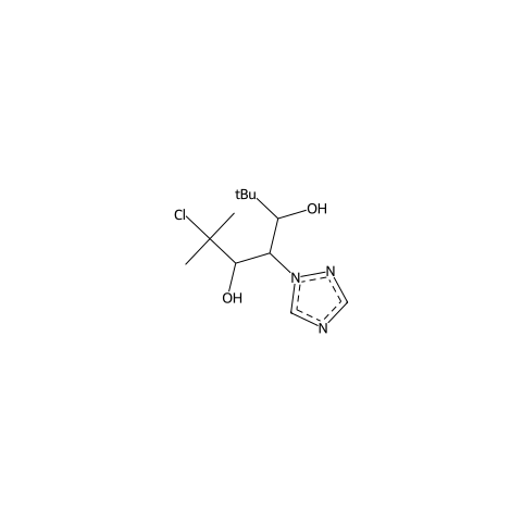 CC(C)(C)C(O)C(C(O)C(C)(C)Cl)n1cncn1